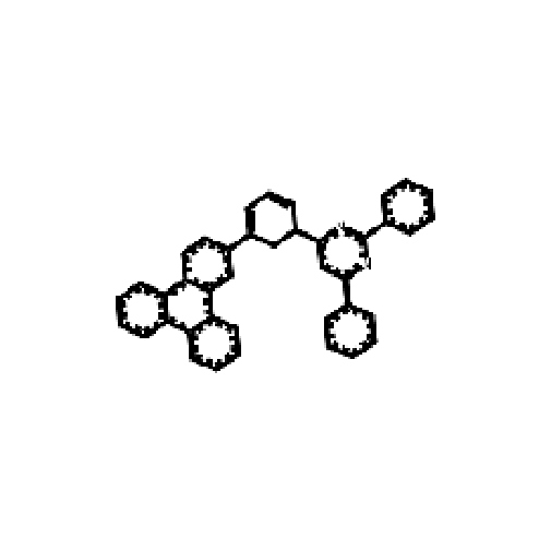 C1=CC(c2cc(-c3ccccc3)nc(-c3ccccc3)n2)CC(c2ccc3c4ccccc4c4ccccc4c3c2)=C1